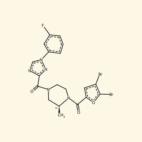 C[C@H]1CN(C(=O)c2ncn(-c3cccc(F)c3)n2)CCN1C(=O)c1cc(Br)c(Br)o1